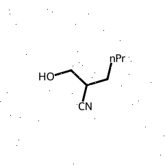 CCCCC(C#N)CO